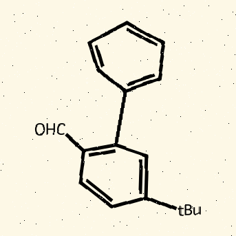 CC(C)(C)c1ccc(C=O)c(-c2ccccc2)c1